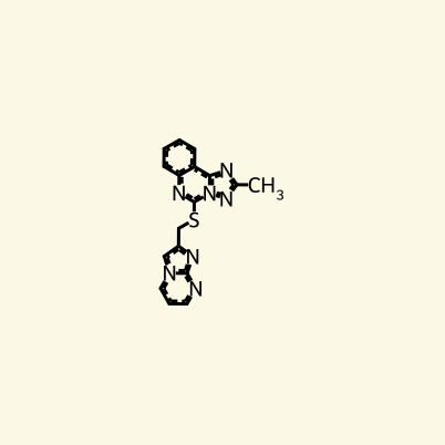 Cc1nc2c3ccccc3nc(SCc3cn4cccnc4n3)n2n1